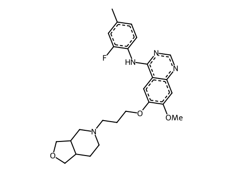 COc1cc2ncnc(Nc3ccc(C)cc3F)c2cc1OCCCN1CCC2COCC2C1